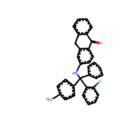 Cc1ccc(C(Nc2ccc3c(c2)Cc2ccccc2C3=O)(c2ccccc2)c2ccccc2Cl)cc1